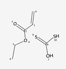 C=CC(=O)OCC.OC(=S)S